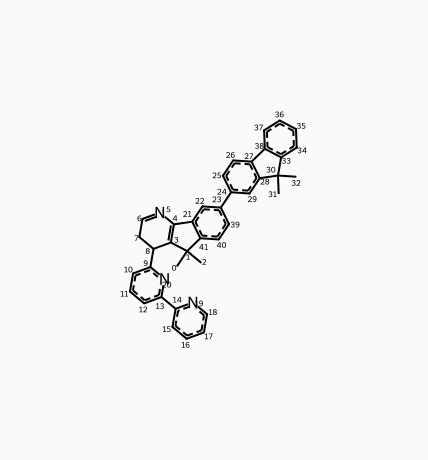 CC1(C)C2=C(N=CCC2c2cccc(-c3ccccn3)n2)c2cc(-c3ccc4c(c3)C(C)(C)c3ccccc3-4)ccc21